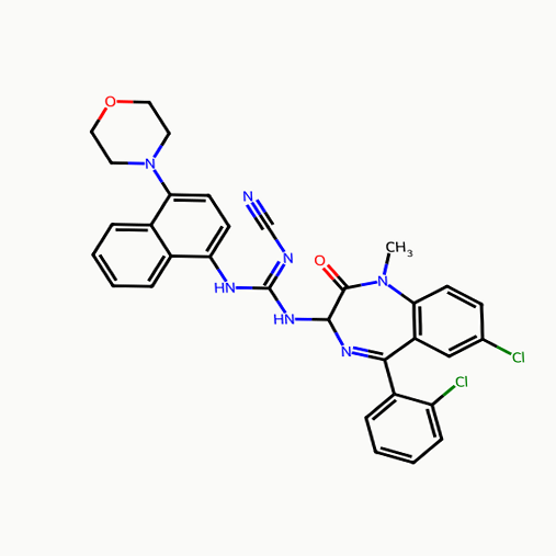 CN1C(=O)C(NC(=NC#N)Nc2ccc(N3CCOCC3)c3ccccc23)N=C(c2ccccc2Cl)c2cc(Cl)ccc21